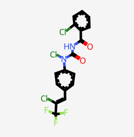 O=C(NC(=O)N(Cl)c1ccc(C=C(Cl)C(F)(F)F)cc1)c1ccccc1Cl